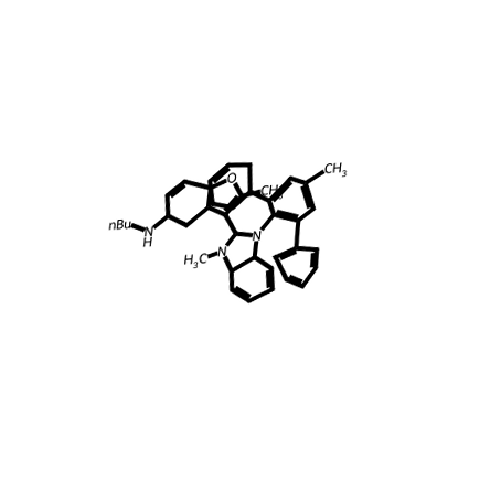 CCCCNC1C=CC2OC(C)=C(C3N(C)C4C=CC=CC4N3c3c(-c4ccccc4)cc(C)cc3C3CC=CCC3)C2C1